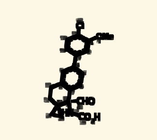 COc1cc(-c2ccc3c(c2)CCC2(CC2)[C@]3(C=O)NC(=O)O)ccc1Cl